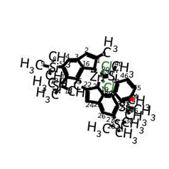 CC1=Cc2cc([Si](C)(C)C)c([Si](C)(C)C)cc2[CH]1[Zr]([Cl])([Cl])([CH]1C(C)=Cc2cc([Si](C)(C)C)c([Si](C)(C)C)cc21)=[Si](C)c1ccccc1